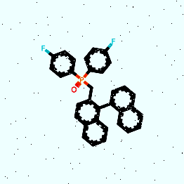 O=P(Cc1ccc2ccccc2c1-c1cccc2ccccc12)(c1ccc(F)cc1)c1ccc(F)cc1